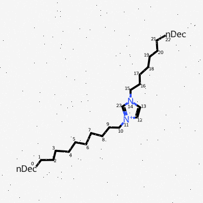 CCCCCCCCCCCCCCCCCCCC[n+]1ccn(CCCCCCCCCCCCCCCCC)c1